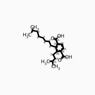 CC(C)CCCCCCc1c(C(=O)O)ccc(C(=O)O)c1CCC(C)C